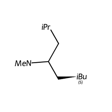 CC[C@H](C)CC(CC(C)C)NC